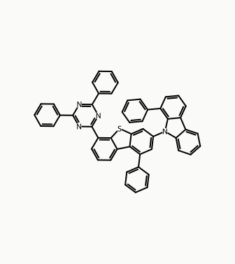 c1ccc(-c2nc(-c3ccccc3)nc(-c3cccc4c3sc3cc(-n5c6ccccc6c6cccc(-c7ccccc7)c65)cc(-c5ccccc5)c34)n2)cc1